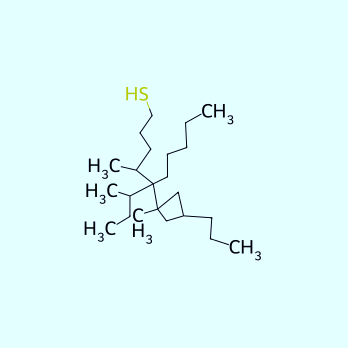 CCCCCC(C(C)CC)(C(C)CCCS)C1(C)CC(CCC)C1